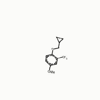 COc1ccc(OCC2CC2)c(C(F)(F)F)c1